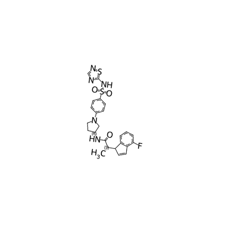 C[C@H](C(=O)N[C@@H]1CCN(c2ccc(S(=O)(=O)Nc3ncns3)cc2)C1)C1C=Cc2c(F)cccc21